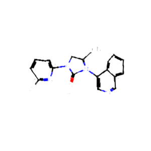 N#CC1CN(c2cccc(C(F)(F)F)n2)C(=O)N1c1cncc2ccccc12